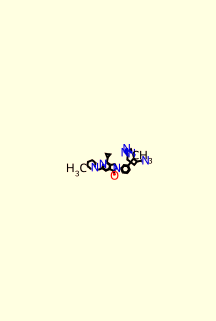 CC1CCCN(Cc2cc3c(c(C4CC4)n2)CN(c2cccc(C4(Cc5nncn5C)CC(C#N)C4)c2)C3=O)C1